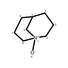 [O-][N+]12CCCC(CCC1)C2